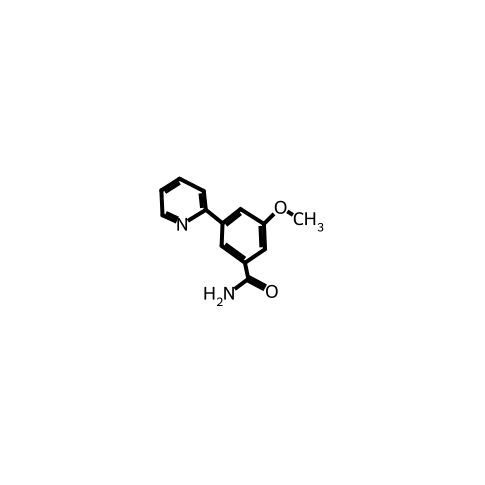 COc1cc(C(N)=O)cc(-c2ccccn2)c1